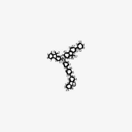 CC1(C)c2ccccc2-c2ccc(N(c3ccc(-c4ccc(-c5ccc6oc7ccccc7c6c5)cc4)cc3)c3ccc4c(c3)C(C)(C)c3cc(-c5ccccc5)ccc3-4)cc21